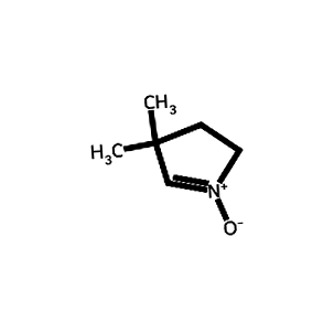 CC1(C)C=[N+]([O-])CC1